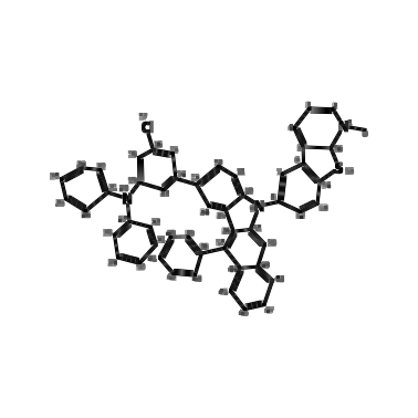 CN1C=CC=C2c3cc(-n4c5ccc(-c6cc(Cl)cc(N(c7ccccc7)c7ccccc7)c6)cc5c5c(-c6ccccc6)c6ccccc6cc54)ccc3SC21